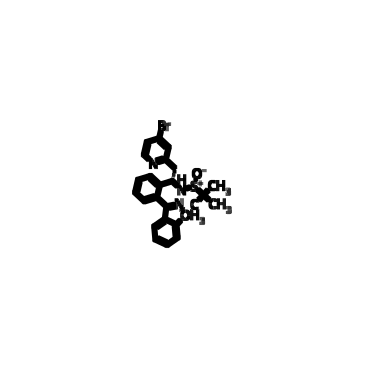 CC(C)(C)[S@+]([O-])N[C@@H](Cc1cc(Br)ccn1)c1ccccc1-c1noc2ccccc12